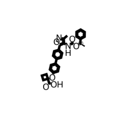 Cc1noc(-c2ccc(-c3ccc(OC4(C(=O)O)CCC4)cc3)cc2)c1NC(=O)O[C@H](C)c1ccccc1